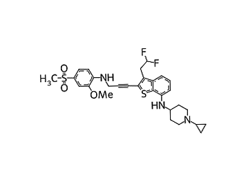 COc1cc(S(C)(=O)=O)ccc1NCC#Cc1sc2c(NC3CCN(C4CC4)CC3)cccc2c1CC(F)F